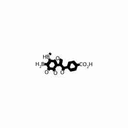 BC1=C(BC)c2occ(C(=O)c3ccc(C(=O)O)cc3)c2C(=O)C1=O